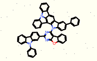 c1ccc(-c2ccc3c(c2)c2cc4c5ccccc5n5c6ccccc6c(c2n3-c2nc(-c3ccc6c7ccccc7n(-c7ccccc7)c6c3)nc3oc6ccccc6c23)c45)cc1